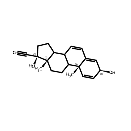 C[C@]12C=C[C@H](O)C=C1C=CC1C2CC[C@@]2(C)C1CC[C@@]2(O)[C]#[Cr]